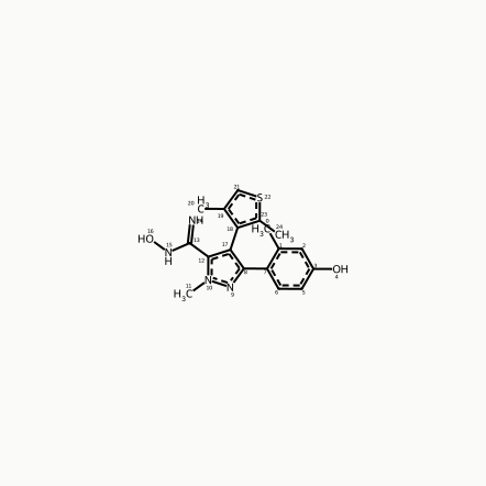 Cc1cc(O)ccc1-c1nn(C)c(C(=N)NO)c1-c1c(C)csc1C